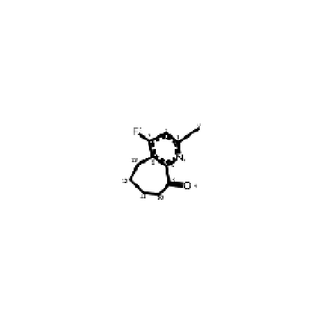 Cc1cc(F)c2c(n1)C(=O)CCCC2